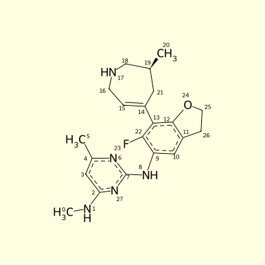 CNc1cc(C)nc(Nc2cc3c(c(C4=CCNC[C@@H](C)C4)c2F)OCC3)n1